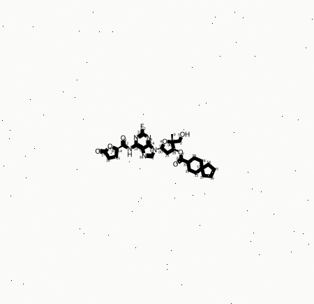 C[C@]1(CO)O[C@@H](n2cnc3c(NC(=O)[C@H]4CCC(=O)O4)nc(F)nc32)C[C@@H]1OC(=O)C1CCC2(CCCC2)CC1